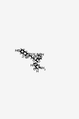 B[PH]1(O)OCC2OC(N3CNc4c3nc(N)[nH]c4=O)C(OC(=O)CCC(=O)NC(Cc3ccc(O)cc3)C(=O)OC)C2O1